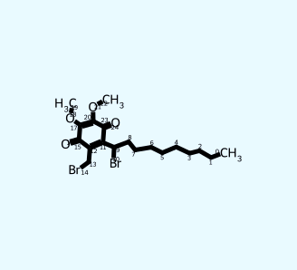 CCCCCCCCCC(Br)C1=C(CBr)C(=O)C(OC)=C(OC)C1=O